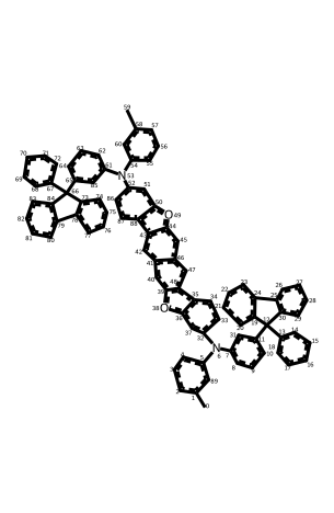 Cc1cccc(N(c2cccc(C3(c4ccccc4)c4ccccc4-c4ccccc43)c2)c2ccc3c(c2)oc2cc4cc5c(cc4cc23)oc2cc(N(c3cccc(C)c3)c3cccc(C4(c6ccccc6)c6ccccc6-c6ccccc64)c3)ccc25)c1